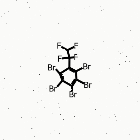 FC(F)C(F)(F)c1c(Br)c(Br)c(Br)c(Br)c1Br